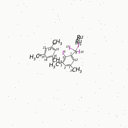 Cc1cc(C)c(I)c(C(I)(I)I)c1.Cc1cc(C)cc(C)c1.[Ru].[Ru]